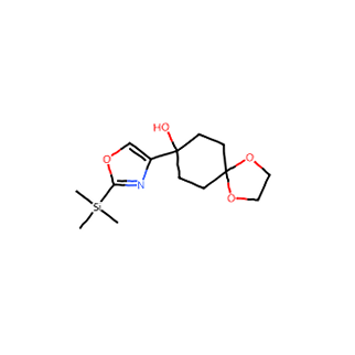 C[Si](C)(C)c1nc(C2(O)CCC3(CC2)OCCO3)co1